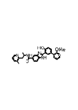 COc1ncccc1-c1ccc(O)c(-c2nc3cc(C(=O)NC(C)Cc4ncccc4C)ccc3[nH]2)c1